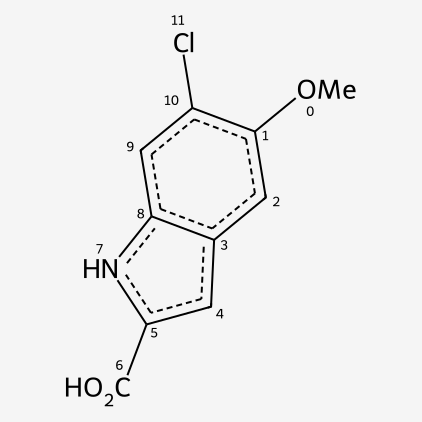 COc1cc2cc(C(=O)O)[nH]c2cc1Cl